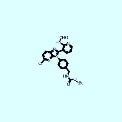 CC(C)(C)OC(=O)NCc1ccc(-n2c(-c3cccnc3NC=O)nc3ccc(Cl)nc32)cc1